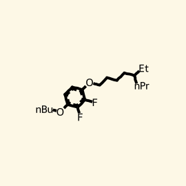 CCCCOc1ccc(OCCCCC(CC)CCC)c(F)c1F